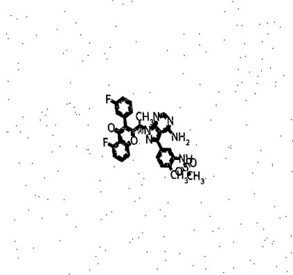 Cc1ccc(-c2nn([C@H](C)c3oc4cccc(F)c4c(=O)c3-c3cccc(F)c3)c3ncnc(N)c23)cc1NS(C)(=O)=O